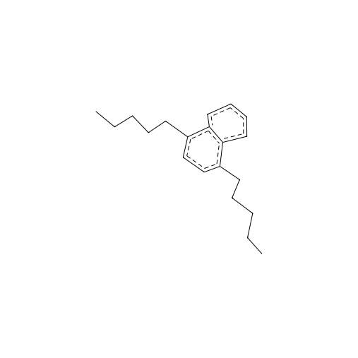 CCCCCc1ccc(CCCCC)c2ccccc12